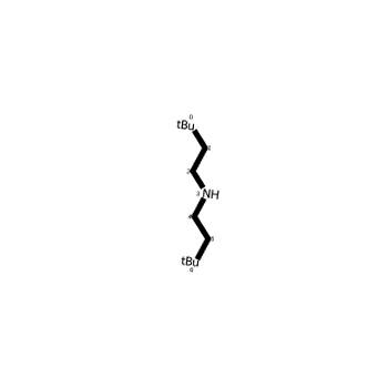 CC(C)(C)CCNCCC(C)(C)C